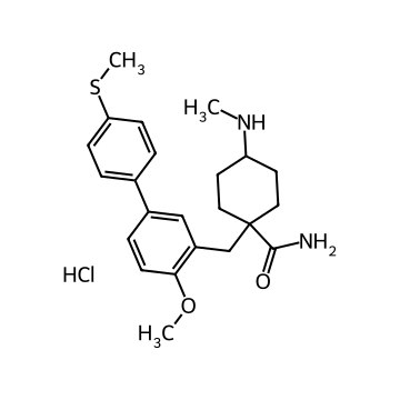 CNC1CCC(Cc2cc(-c3ccc(SC)cc3)ccc2OC)(C(N)=O)CC1.Cl